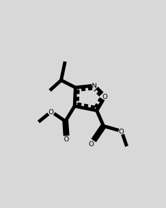 COC(=O)c1onc(C(C)C)c1C(=O)OC